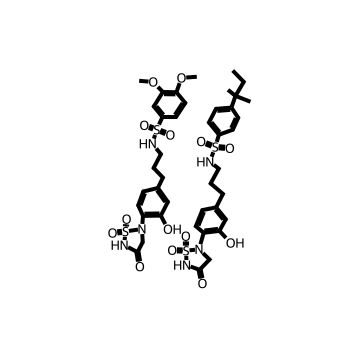 CCC(C)(C)c1ccc(S(=O)(=O)NCCCc2ccc(N3CC(=O)NS3(=O)=O)c(O)c2)cc1.COc1ccc(S(=O)(=O)NCCCc2ccc(N3CC(=O)NS3(=O)=O)c(O)c2)cc1OC